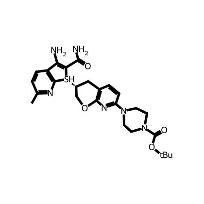 Cc1ccc2c(n1)[SH]([C@H]1COc3nc(N4CCN(C(=O)OC(C)(C)C)CC4)ccc3C1)C(C(N)=O)=C2N